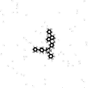 c1ccc(-c2ccc(-c3nc(-c4ccccc4)nc(-c4ccc5c(c4)-c4cccc6c(-c7ccccc7)ccc(c46)S5)n3)cc2)cc1